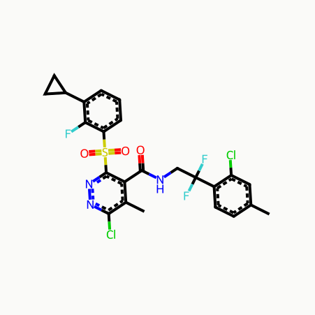 Cc1ccc(C(F)(F)CNC(=O)c2c(S(=O)(=O)c3cccc(C4CC4)c3F)nnc(Cl)c2C)c(Cl)c1